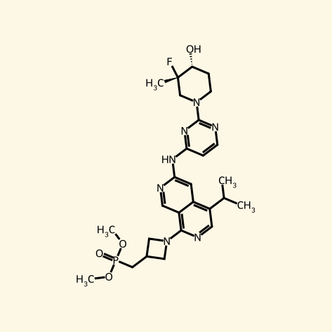 COP(=O)(CC1CN(c2ncc(C(C)C)c3cc(Nc4ccnc(N5CC[C@@H](O)[C@@](C)(F)C5)n4)ncc23)C1)OC